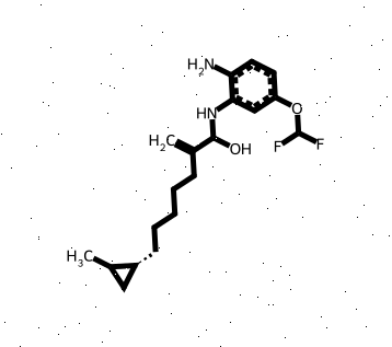 C=C(CCCCC[C@@H]1CC1C)C(O)Nc1cc(OC(F)F)ccc1N